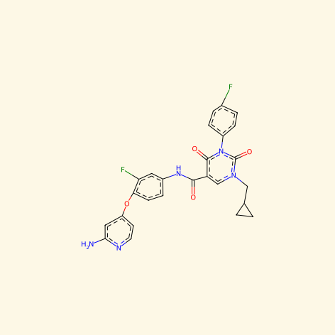 Nc1cc(Oc2ccc(NC(=O)c3cn(CC4CC4)c(=O)n(-c4ccc(F)cc4)c3=O)cc2F)ccn1